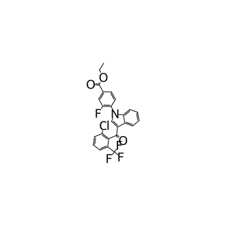 CCOC(=O)c1ccc(-n2cc(C(=O)c3c(Cl)cccc3C(F)(F)F)c3ccccc32)c(F)c1